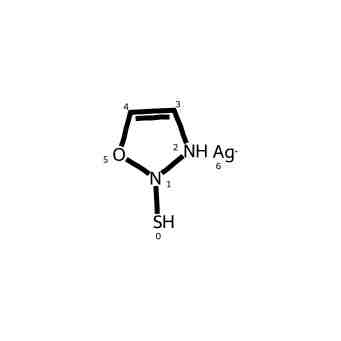 SN1NC=CO1.[Ag]